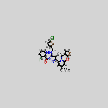 COc1cc(-c2nn(C(=O)c3ccccc3F)c(NCc3ccc(Cl)s3)c2C#N)n(Cc2ccsc2)c(=O)c1